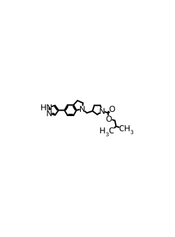 CC(C)COC(=O)N1CCC(CN2CCc3cc(-c4cn[nH]c4)ccc32)C1